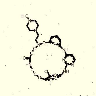 CN1CCN(CCN2CCC(=O)NCCOc3ccc(cc3Cl)Nc3nccc(n3)Nc3cccc(c3)C2)CC1